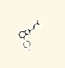 CC(=O)/C=C/c1nc2cccc(N3CCN(C)CC3)c2[nH]1